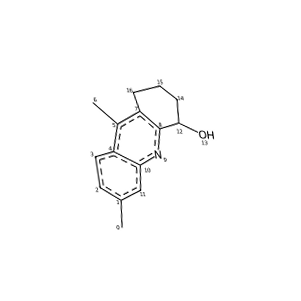 Cc1ccc2c(C)c3c(nc2c1)C(O)CCC3